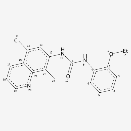 CCOc1ccccc1NC(=O)Nc1cc(Cl)c2cccnc2c1C